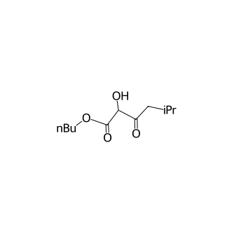 CCCCOC(=O)C(O)C(=O)CC(C)C